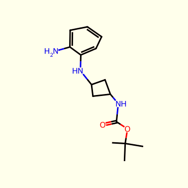 CC(C)(C)OC(=O)NC1CC(Nc2ccccc2N)C1